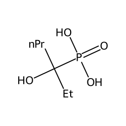 CCCC(O)(CC)P(=O)(O)O